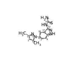 Cc1cc(C)n(-c2ccc3[nH]nc(NC(N)=S)c3c2)n1